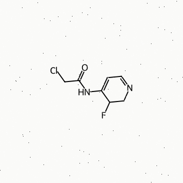 O=C(CCl)NC1=CC=NCC1F